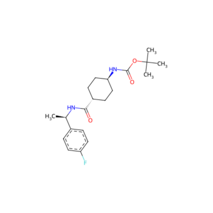 C[C@@H](NC(=O)[C@H]1CC[C@H](NC(=O)OC(C)(C)C)CC1)c1ccc(F)cc1